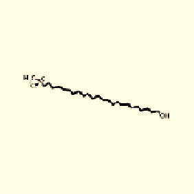 C[Si](Cl)(Cl)CCCCCCCCCCCCCCCCCCCCCCCCO